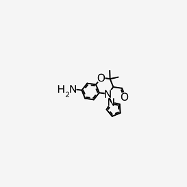 CC1(C)Oc2cc(N)ccc2N(n2cccc2)C1C=O